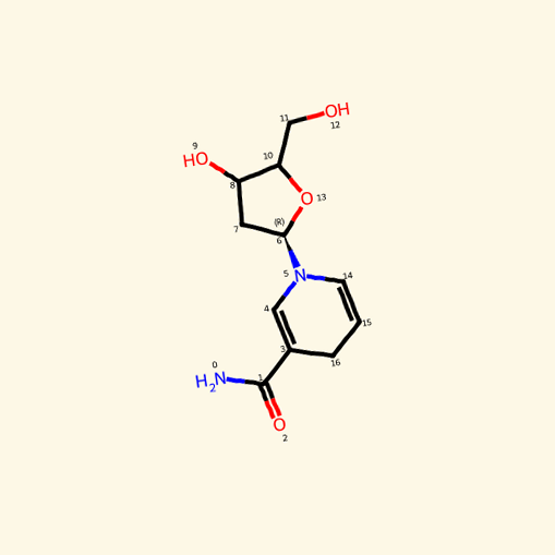 NC(=O)C1=CN([C@H]2CC(O)C(CO)O2)C=CC1